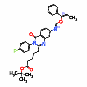 C/C=C(\O/C=N/c1ccc2c(=O)n(-c3ccc(F)cc3)c(CCCCC(=O)OC(C)(C)C)nc2c1)c1ccccc1